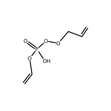 C=CCOOP(=O)(O)OC=C